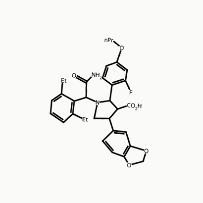 CCCOc1ccc(C2C(C(=O)O)C(c3ccc4c(c3)OCO4)CN2C(C(N)=O)c2c(CC)cccc2CC)c(F)c1